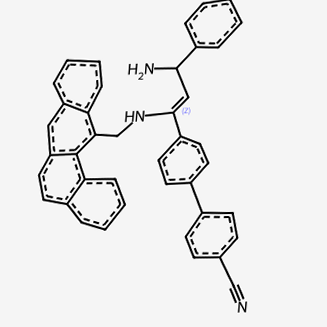 N#Cc1ccc(-c2ccc(/C(=C/C(N)c3ccccc3)NCc3c4ccccc4cc4ccc5ccccc5c34)cc2)cc1